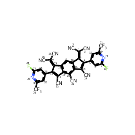 N#CC(C#N)=C1C(c2cc(F)nc(C(F)(F)F)c2)=C(C#N)c2c1cc1c(c2C#N)C(C#N)=C(c2cc(F)nc(C(F)(F)F)c2)C1=C(C#N)C#N